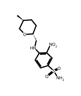 C[C@H]1CC[C@H](CNc2ccc(S(N)(=O)=O)cc2[N+](=O)[O-])OC1